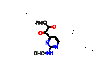 COC(=O)C(=O)c1ccnc(NC=O)n1